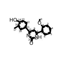 COc1ccccc1-c1cc(-c2ccc(O)c(C)c2)nc(=O)[nH]1